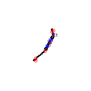 C=CC(=O)OCCCCCCCCCCOc1ccc(N=Nc2cc3sc(N=Nc4ccc(N(CC)CCOC(=O)C=C)cc4)nc3s2)cc1